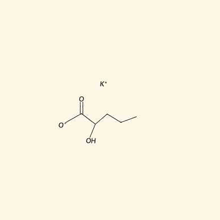 CCCC(O)C(=O)[O-].[K+]